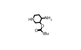 CC(C)(C)C(=O)OC1CNCCC1N